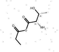 CCC(=O)OC(=O)[C@@H](N)[C@@H](C)O